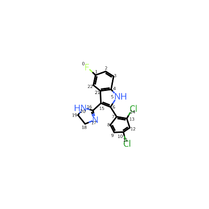 Fc1ccc2[nH]c(-c3ccc(Cl)cc3Cl)c(C3=NCCN3)c2c1